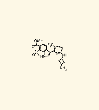 COC(=O)c1ccc2c(-c3nc(NC4CC(N)C4)ncc3C(F)(F)F)c[nH]c2c1P(C)(C)=O